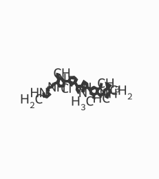 C#CC(=C)C1(CNCc2c(CC)cc(-n3ccc4c(-c5cccc(C6=NC(CC)=C(CNCC7CCC(=C)N7)CC6)c5Cl)ccnc43)cc2CC)CC1